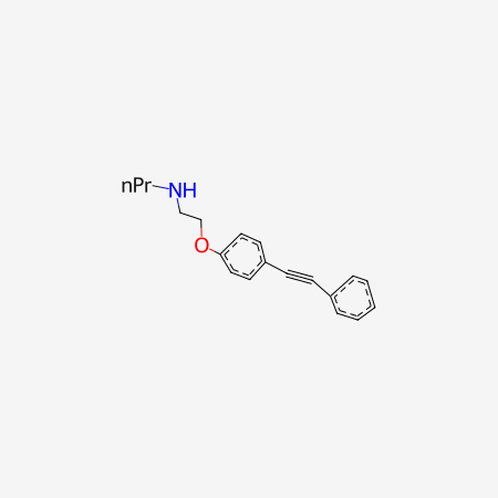 CCCNCCOc1ccc(C#Cc2ccccc2)cc1